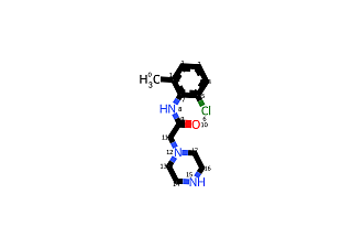 Cc1cccc(Cl)c1NC(=O)CN1CCNCC1